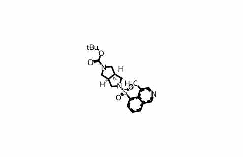 Cc1cncc2cccc(S(=O)(=O)N3C[C@H]4CN(C(=O)OC(C)(C)C)C[C@H]4C3)c12